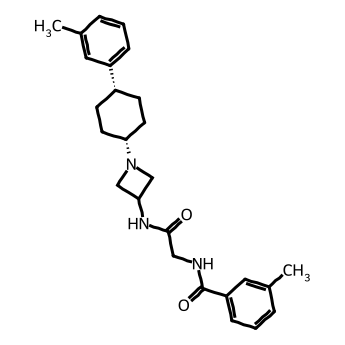 Cc1cccc(C(=O)NCC(=O)NC2CN([C@H]3CC[C@@H](c4cccc(C)c4)CC3)C2)c1